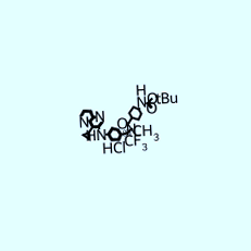 CN(C(=O)C1CCC(NC(=O)OC(C)(C)C)CC1)[C@@H](c1ccc(Nc2cnc3cccnc3c2C2CC2)cc1)C(F)(F)F.Cl